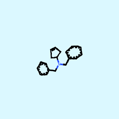 C1=CCC(N(Cc2ccccc2)Cc2ccccc2)C1